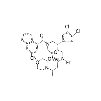 CCN(CCC(C)N1CCOCC1)CC[C@H](CN(CC(=O)OC)C(=O)c1cc(C#N)cc2ccccc12)c1ccc(Cl)c(Cl)c1